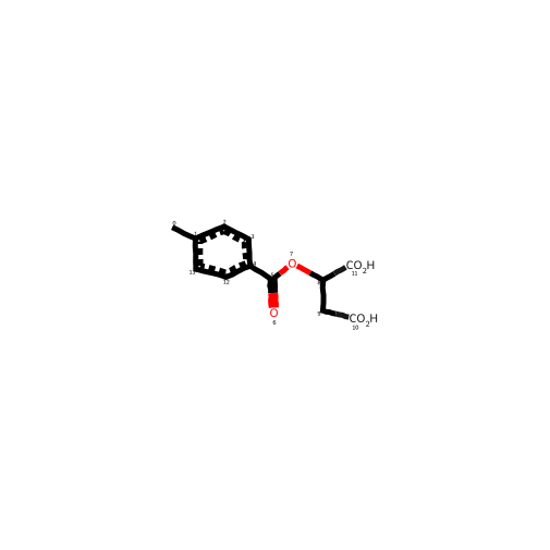 Cc1ccc(C(=O)OC(CC(=O)O)C(=O)O)cc1